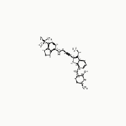 CN1CC[C@@H](Nc2cccc3c(CC(F)(F)F)c(C#CCNc4ccc(P(C)(C)=O)c5c4OCC5)sc23)C(F)C1